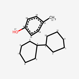 C1CCC(C2CCCCC2)CC1.Cc1ccc(O)cc1